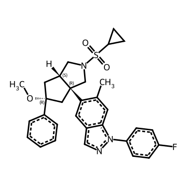 CO[C@]1(c2ccccc2)C[C@@H]2CN(S(=O)(=O)C3CC3)C[C@]2(c2cc3cnn(-c4ccc(F)cc4)c3cc2C)C1